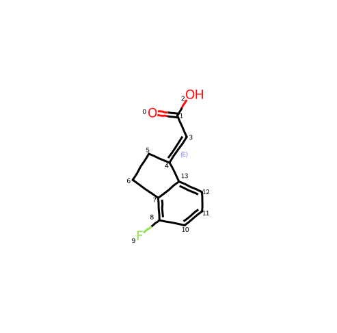 O=C(O)/C=C1\CCc2c(F)cccc21